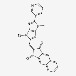 CCn1c(C=C2C(=O)c3cc4ccccc4cc3C2=O)cc2c1nc(-c1cccnc1)n2C